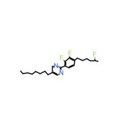 CCCCCCCCc1cnc(-c2ccc(CCCCC(C)F)c(F)c2F)nc1